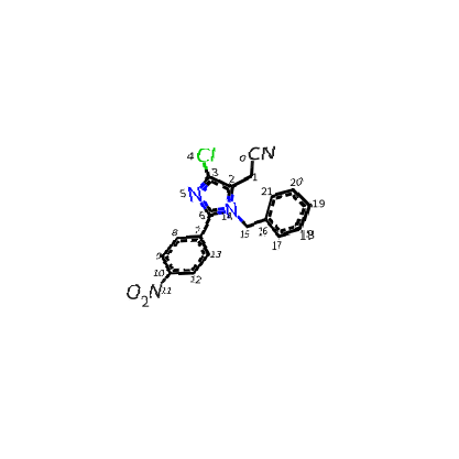 N#CCc1c(Cl)nc(-c2ccc([N+](=O)[O-])cc2)n1Cc1ccccc1